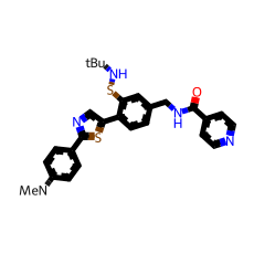 CNc1ccc(-c2ncc(-c3ccc(CNC(=O)c4ccncc4)cc3SNC(C)(C)C)s2)cc1